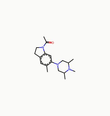 CC(=O)N1CCc2cc(C)c(N3CC(C)N(C)C(C)C3)cc21